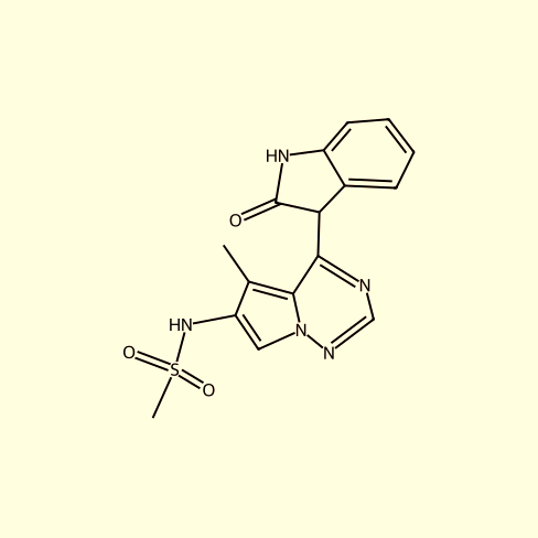 Cc1c(NS(C)(=O)=O)cn2ncnc(C3C(=O)Nc4ccccc43)c12